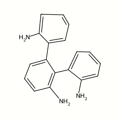 Nc1ccccc1-c1cccc(N)c1-c1ccccc1N